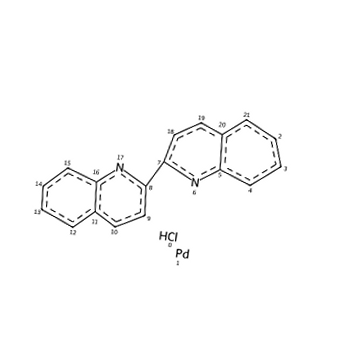 Cl.[Pd].c1ccc2nc(-c3ccc4ccccc4n3)ccc2c1